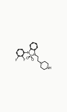 O=S1(=O)N(CCN2CCNCC2)c2ccccc2N1c1cccc(F)c1F